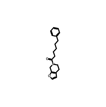 O=C(CCCCCc1ccccc1)N1CCc2ccoc2C1